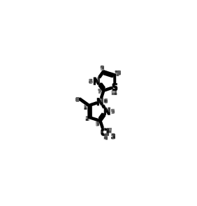 Cc1cc(C(F)(F)F)nn1-c1nc[c]s1